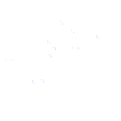 CC(=O)Oc1cc(-c2cn(Cc3cn4cc(CN(CC5CCC5)C(=O)OC(C)(C)C)ccc4n3)nn2)c2cnn(C3CCCCO3)c2c1